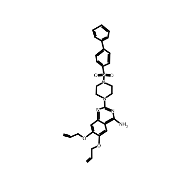 C=CCOc1cc2nc(N3CCN(S(=O)(=O)c4ccc(-c5ccccc5)cc4)CC3)nc(N)c2cc1OCC=C